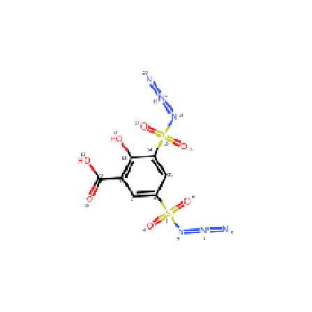 [N-]=[N+]=NS(=O)(=O)c1cc(C(=O)O)c(O)c(S(=O)(=O)N=[N+]=[N-])c1